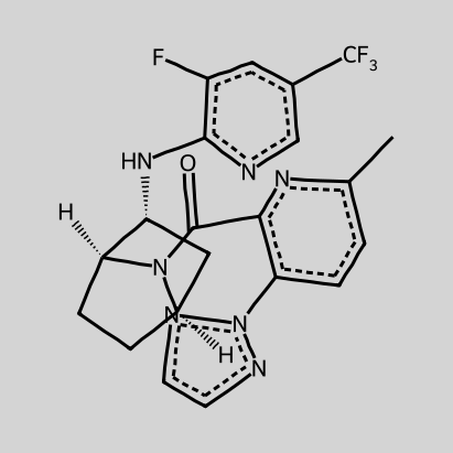 Cc1ccc(-n2nccn2)c(C(=O)N2[C@@H]3CC[C@H]2[C@H](Nc2ncc(C(F)(F)F)cc2F)C3)n1